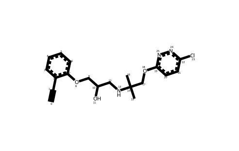 C#Cc1ccccc1OCC(O)CNC(C)(C)COc1ccc(Cl)nn1